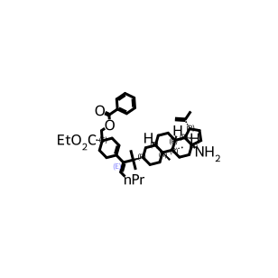 C=C(C)[C@@H]1CC[C@]2(N)CC[C@]3(C)[C@H](CC[C@@H]4C[C@H](C(C)(C)/C(=C\CCC)C5=CC[C@@](COC(=O)c6ccccc6)(C(=O)OCC)CC5)CC[C@]43C)[C@@H]12